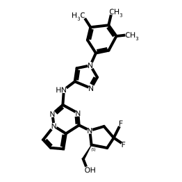 Cc1cc(-n2cnc(Nc3nc(N4CC(F)(F)C[C@H]4CO)c4cccn4n3)c2)cc(C)c1C